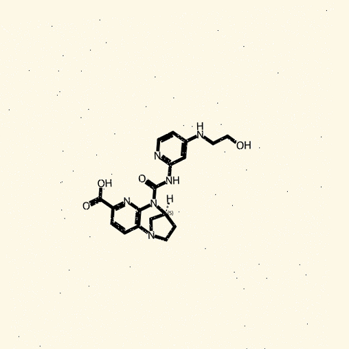 O=C(O)c1ccc2c(n1)N(C(=O)Nc1cc(NCCO)ccn1)[C@H]1CCN2C1